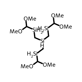 COC(OC)[SiH2]C[SiH](C[SiH2]C(OC)OC)C[SiH2]C(OC)OC